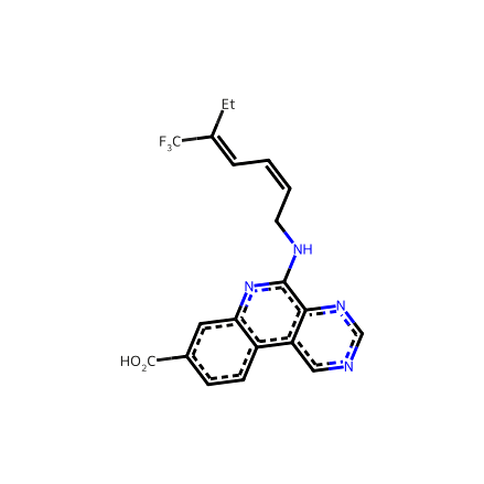 CC/C(=C\C=C/CNc1nc2cc(C(=O)O)ccc2c2cncnc12)C(F)(F)F